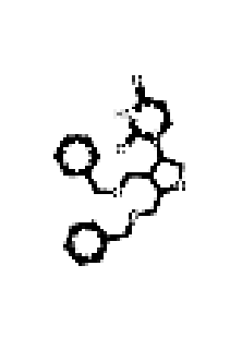 O=c1ccn(C2COC(COCc3ccccc3)C2COCc2ccccc2)c(=O)[nH]1